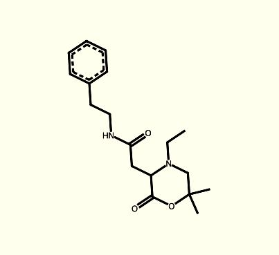 CCN1CC(C)(C)OC(=O)C1CC(=O)NCCc1ccccc1